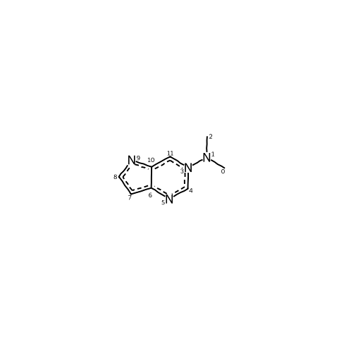 CN(C)n1cnc2ccnc-2c1